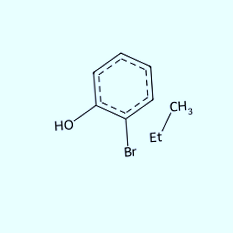 CCC.Oc1ccccc1Br